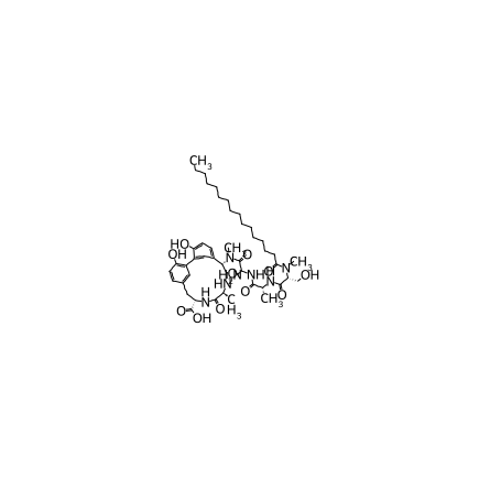 CCCCCCCCCCCCCCCC(=O)N(C)[C@H](CO)C(=O)N[C@H](C)C(=O)N[C@@H](N)C(=O)N(C)[C@@H]1C(=O)N[C@@H](C)C(=O)N[C@H](C(=O)O)Cc2ccc(O)c(c2)-c2cc1ccc2O